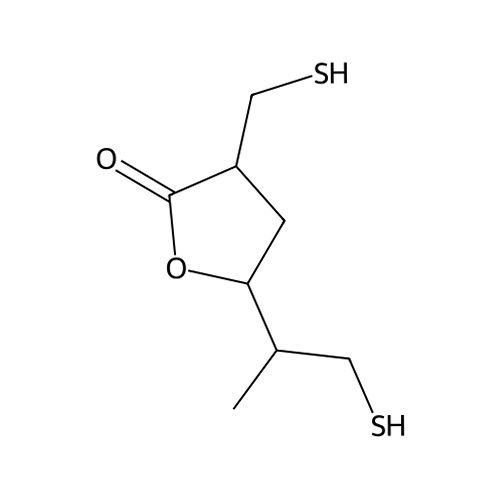 CC(CS)C1CC(CS)C(=O)O1